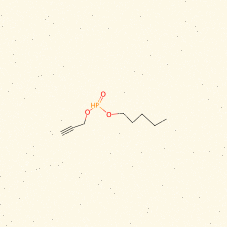 C#CCO[PH](=O)OCCCCC